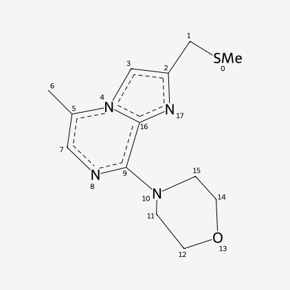 CSCc1cn2c(C)cnc(N3CCOCC3)c2n1